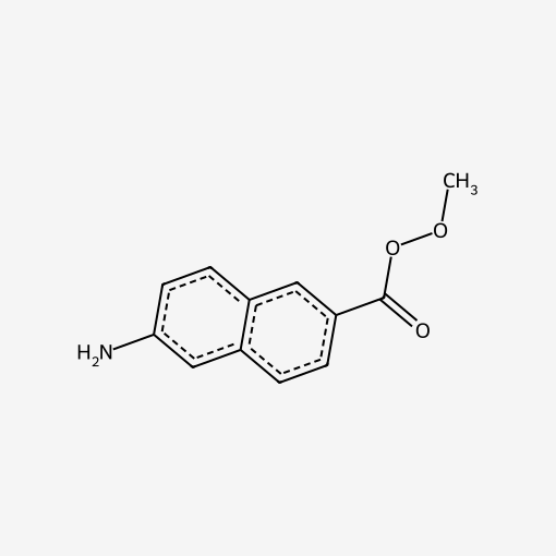 COOC(=O)c1ccc2cc(N)ccc2c1